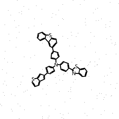 c1csc2cc(-c3ccc(N(c4ccc(-c5ccc6sc7ccccc7c6c5)cc4)c4ccc(-c5nc6ccccc6s5)cc4)cc3)cc-2c1